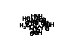 C=C(CC(NC(=O)CC[C@@H](N)C(=O)O)C(=O)O)CC(NC(=O)[C@H](C)N)C(=O)O